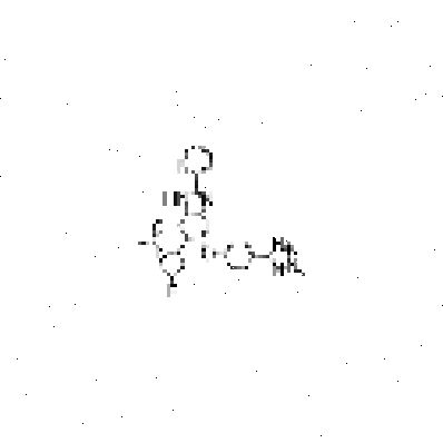 CC(=O)N1CC(F)CC1c1cc2[nH]c(-c3ccccn3)nc2cc1Oc1ccc(-c2nnn(C)n2)cc1